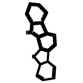 C1=CC2Oc3c(ccc4c3[nH]c3ccccc34)C2C=C1